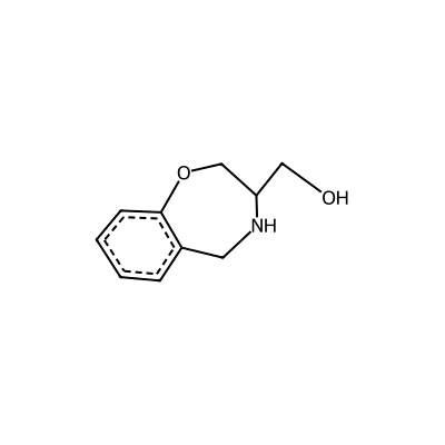 OCC1COc2ccccc2CN1